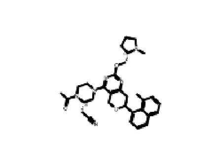 CC(=O)N1CCN(c2nc(OC[C@@H]3CCCN3C)nc3c2COC(c2cccc4cccc(C)c24)C3)C[C@@H]1CC#N